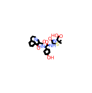 CC1(C)SC2C(NC(=O)C(NC(=O)c3cn4c5c(cccc5c3=O)CCC4)c3ccc(O)cc3)C(=O)N2C1C(=O)O